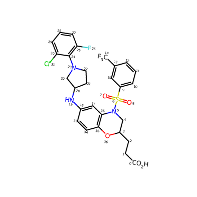 O=C(O)CCC1CN(S(=O)(=O)c2cccc(C(F)(F)F)c2)c2cc(NC3CCN(c4c(F)cccc4Cl)C3)ccc2O1